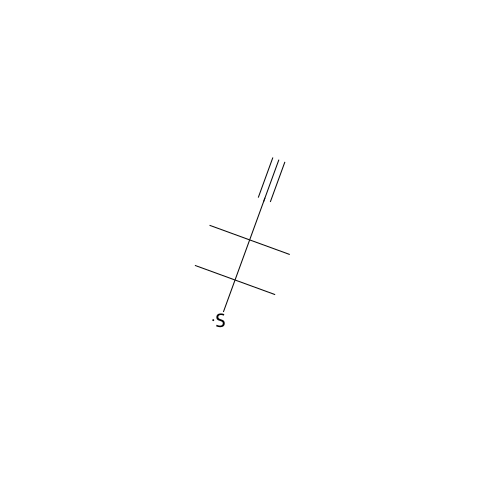 C#CC(C)(C)C(C)(C)[S]